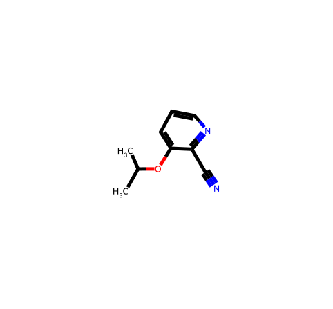 CC(C)Oc1cccnc1C#N